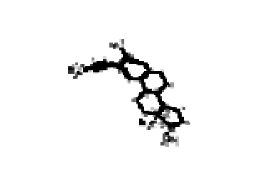 CC#Cc1cc2c(cc1O)CCC1C2CC[C@@]2(C)C1CC[C@@H]2O